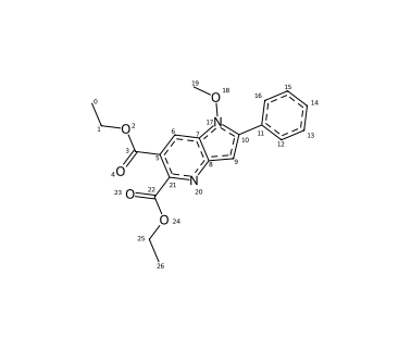 CCOC(=O)c1cc2c(cc(-c3ccccc3)n2OC)nc1C(=O)OCC